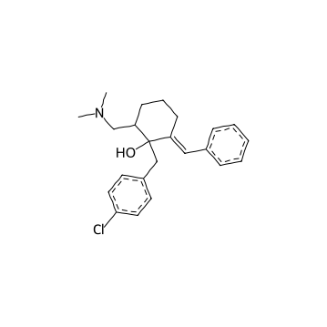 CN(C)CC1CCCC(=Cc2ccccc2)C1(O)Cc1ccc(Cl)cc1